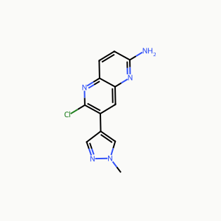 Cn1cc(-c2cc3nc(N)ccc3nc2Cl)cn1